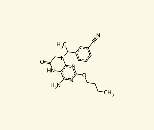 CCCCOc1nc(N)c2c(n1)N(C(C)c1cccc(C#N)c1)CC(=O)N2